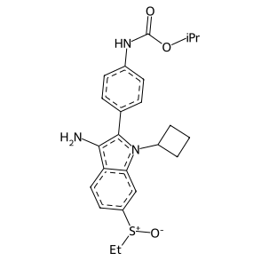 CC[S+]([O-])c1ccc2c(N)c(-c3ccc(NC(=O)OC(C)C)cc3)n(C3CCC3)c2c1